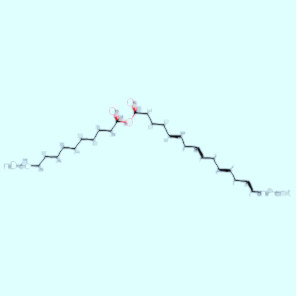 CCCCCC=CCC=CCC=CCC=CCCCC(=O)OC(=O)CCCCCCCCCCCCCCCCCCC